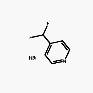 Br.FC(F)c1ccncc1